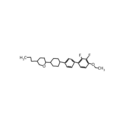 CCCC1CCC(C2CCC(c3ccc(-c4ccc(OCC)c(F)c4F)cc3)CC2)OC1